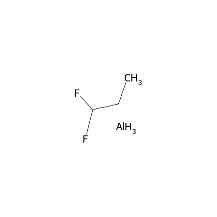 CCC(F)F.[AlH3]